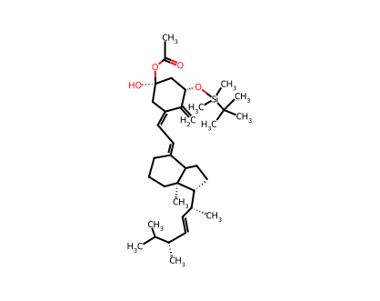 C=C1C(=CC=C2CCC[C@@]3(C)C2CC[C@@H]3[C@H](C)/C=C/[C@H](C)C(C)C)C[C@@](O)(OC(C)=O)C[C@@H]1O[Si](C)(C)C(C)(C)C